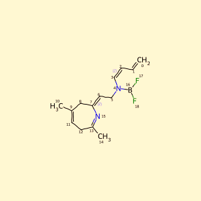 C=C/C=C\N(C/C=C1/CC(C)=CCC(C)=N1)B(F)F